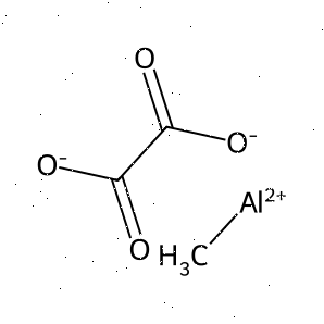 O=C([O-])C(=O)[O-].[CH3][Al+2]